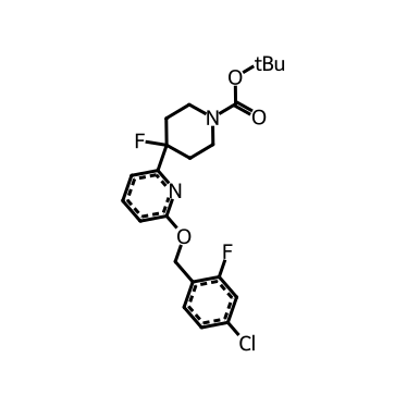 CC(C)(C)OC(=O)N1CCC(F)(c2cccc(OCc3ccc(Cl)cc3F)n2)CC1